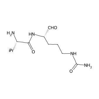 CC(C)[C@H](N)C(=O)N[C@H](C=O)CCCNC(N)=O